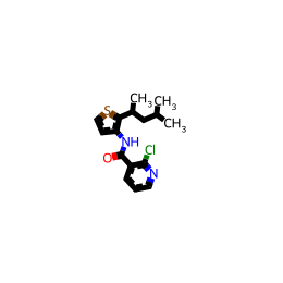 CC(C)CC(C)c1sccc1NC(=O)c1cccnc1Cl